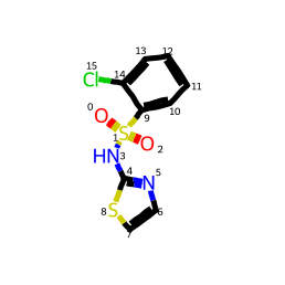 O=S(=O)(Nc1nccs1)c1ccccc1Cl